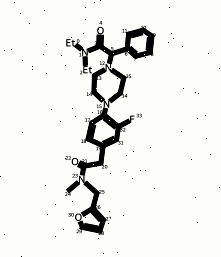 CCN(CC)C(=O)C(c1ccccc1)N1CCN(c2ccc(CC(=O)N(C)Cc3ccco3)cc2F)CC1